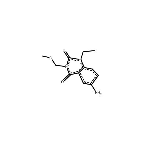 CCn1c(=O)n(COC)c(=O)c2cc(N)ccc21